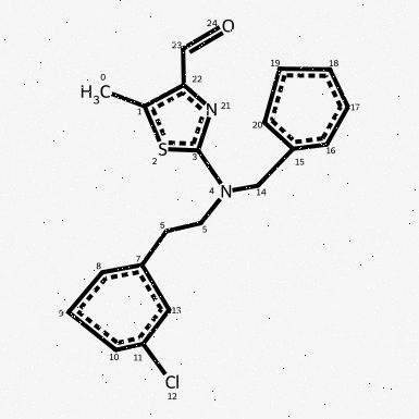 Cc1sc(N(CCc2cccc(Cl)c2)Cc2ccccc2)nc1C=O